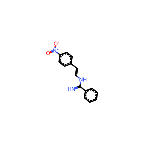 N=C(N/C=C/c1ccc([N+](=O)[O-])cc1)c1ccccc1